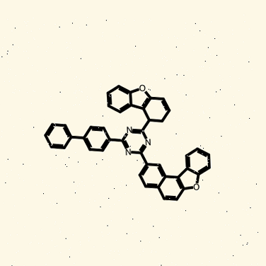 C1=Cc2oc3ccccc3c2C(c2nc(-c3ccc(-c4ccccc4)cc3)nc(-c3ccc4ccc5oc6ccccc6c5c4c3)n2)C1